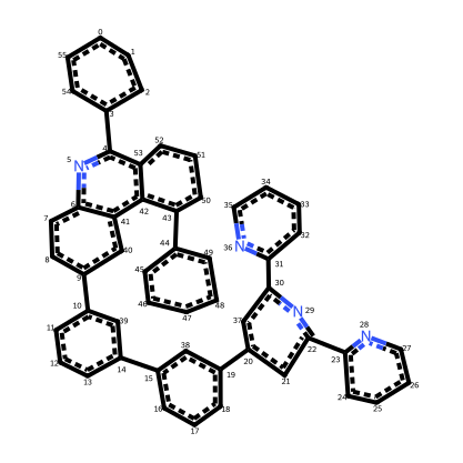 c1ccc(-c2nc3ccc(-c4cccc(-c5cccc(-c6cc(-c7ccccn7)nc(-c7ccccn7)c6)c5)c4)cc3c3c(-c4ccccc4)cccc23)cc1